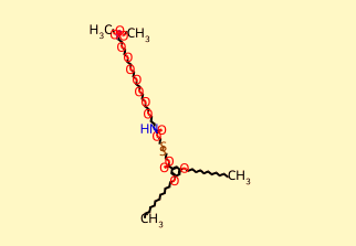 CCCCCCCCCCCCOc1cc(OCCCCCCCCCCCC)cc(C(=O)OCCSSCCOC(=O)NCCCOCCOCCOCCOCCOCCOCCOCCP(=O)(OCC)OCC)c1